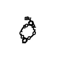 CC(C)(C)c1ccc2c(c1)OCCCCCOc1ccccc1OCCOCCO2